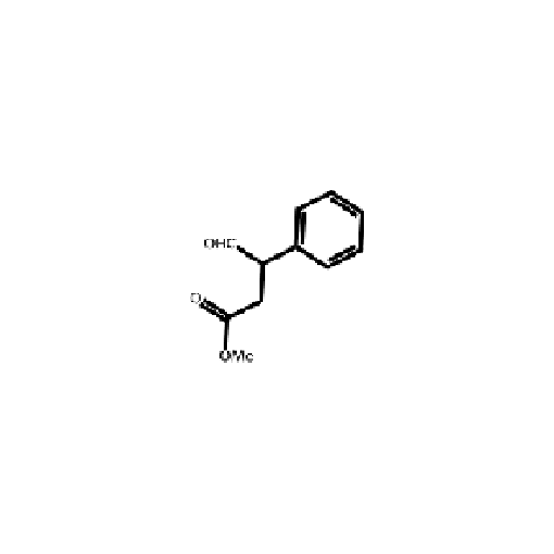 COC(=O)CC(C=O)c1ccccc1